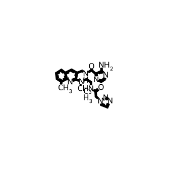 Cc1cccc2cc(CNC(=O)c3nccnc3N)c(N(C)CCN(C)C(=O)Cn3ccnn3)nc12